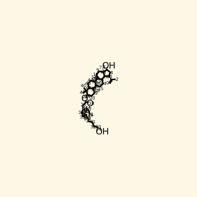 C=C(C)[C@@H]1CC[C@]2(CO)CC[C@]3(C)C(CCC4[C@@]5(C)CC[C@H](OC(=O)C[N+]67CC[N+](CCCCO)(CC6)CC7)C(C)(C)C5CC[C@]43C)C12